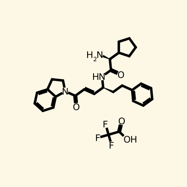 N[C@H](C(=O)N[C@H](C=CC(=O)N1CCc2ccccc21)CCc1ccccc1)C1CCCC1.O=C(O)C(F)(F)F